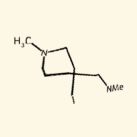 CNCC1(I)CN(C)C1